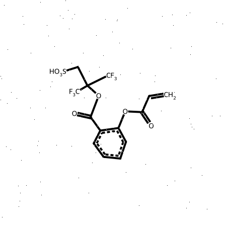 C=CC(=O)Oc1ccccc1C(=O)OC(CS(=O)(=O)O)(C(F)(F)F)C(F)(F)F